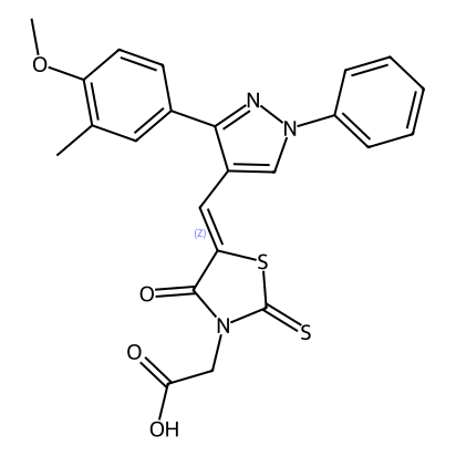 COc1ccc(-c2nn(-c3ccccc3)cc2/C=C2\SC(=S)N(CC(=O)O)C2=O)cc1C